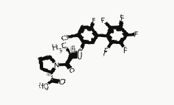 C[C@@H](Oc1cc(-c2c(F)c(F)c(F)c(F)c2F)c(F)cc1Cl)C(=O)N1CCC[C@H]1C(=O)O